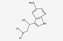 CCN(CC)CC(O)c1c[nH]c2ncc(OC)cc12